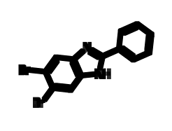 Brc1cc2nc(-c3ccccc3)[nH]c2cc1Br